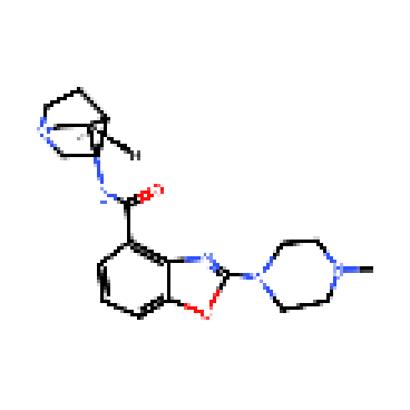 CN1CCN(c2nc3c(C(=O)N[C@@H]4CN5CCC4CC5)cccc3o2)CC1